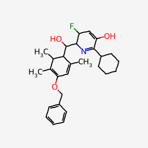 CC1=CC(OCc2ccccc2)=C(C)C(C)C1C(O)C1N=C(C2CCCCC2)C(O)=CC1F